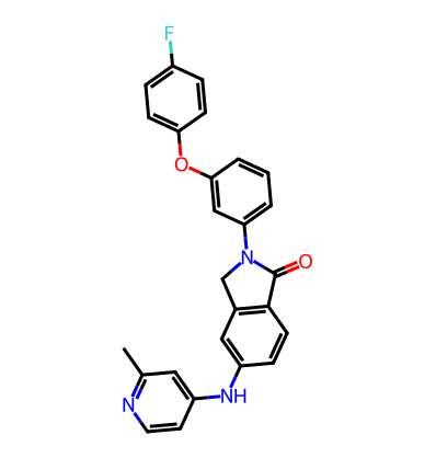 Cc1cc(Nc2ccc3c(c2)CN(c2cccc(Oc4ccc(F)cc4)c2)C3=O)ccn1